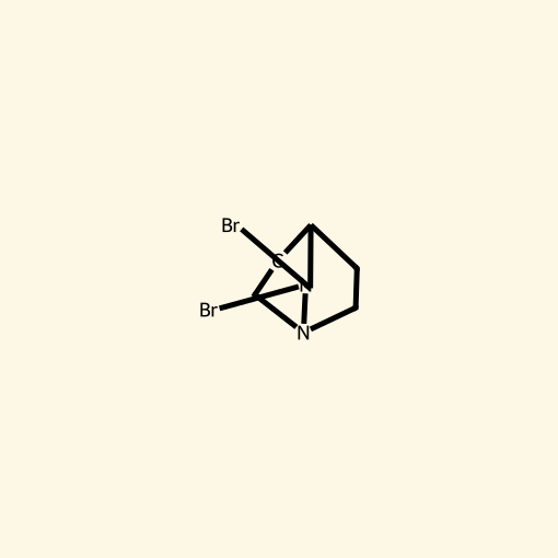 BrC1C2CCN(CC2)N1Br